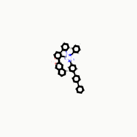 c1ccc(-c2ccc(-c3ccc(-c4nc(-c5ccccc5)nc(-c5c(-c6ccccc6)ccc6oc7cc8ccccc8cc7c56)n4)cc3)cc2)cc1